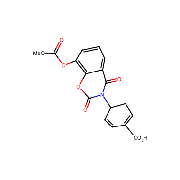 COC(=O)Oc1cccc2c(=O)n(C3C=CC(C(=O)O)=CC3)c(=O)oc12